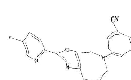 N#Cc1cccc(N2CCCc3nc(-c4ccc(F)cn4)oc3C2)c1